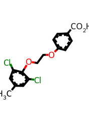 Cc1cc(Cl)c(OCCOc2ccc(C(=O)O)cc2)c(Cl)c1